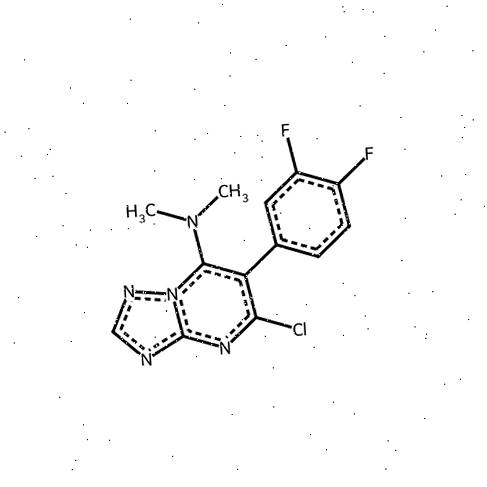 CN(C)c1c(-c2ccc(F)c(F)c2)c(Cl)nc2ncnn12